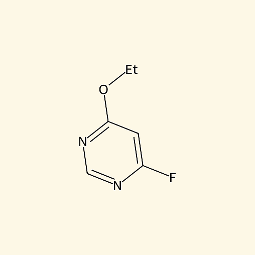 CCOc1cc(F)ncn1